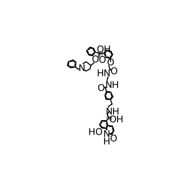 O=C(COc1cccc([C@](O)(C(=O)OCC2CCN(Cc3ccccc3)CC2)c2ccccc2)c1)NCCNC(=O)c1ccc(CCNC[C@H](O)c2ccc(O)c3[nH]c(=O)ccc23)cc1